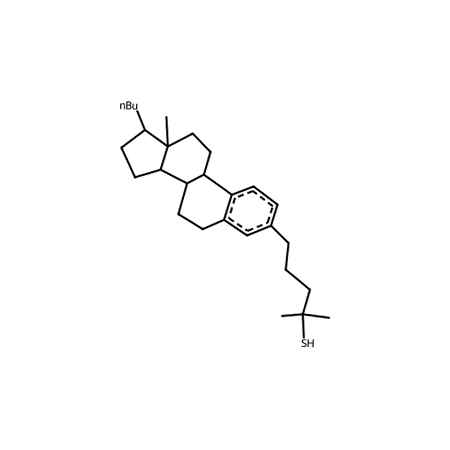 CCCCC1CCC2C3CCc4cc(CCCC(C)(C)S)ccc4C3CCC12C